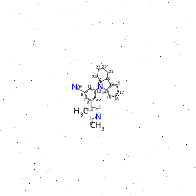 CC/N=C\[C@H](C)c1cc(C#N)cc(N2c3ccccc3C3CCCCC32)c1